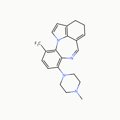 CN1CCN(c2ccc(C(F)(F)F)c3c2N=CC2=CCCc4ccn-3c42)CC1